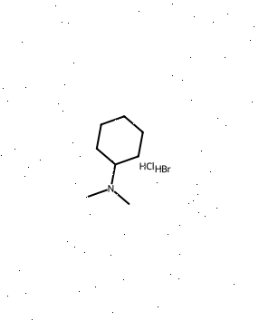 Br.CN(C)C1CCCCC1.Cl